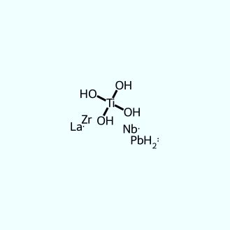 [La].[Nb].[OH][Ti]([OH])([OH])[OH].[PbH2].[Zr]